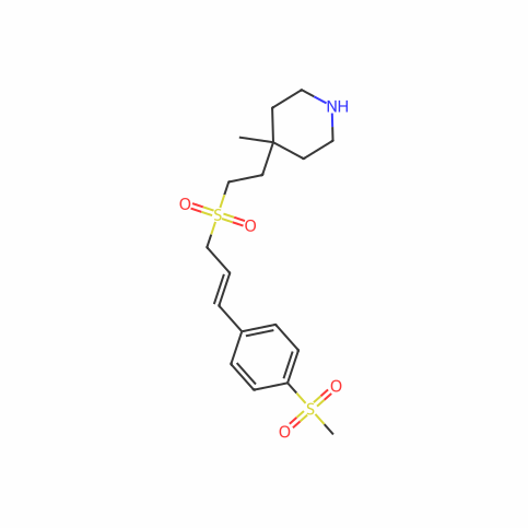 CC1(CCS(=O)(=O)CC=Cc2ccc(S(C)(=O)=O)cc2)CCNCC1